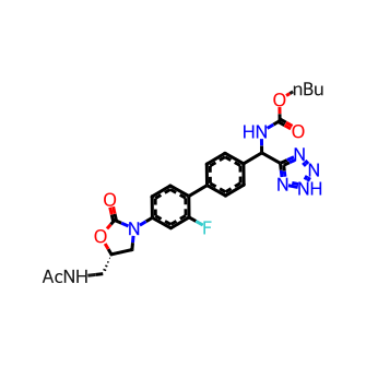 CCCCOC(=O)NC(c1ccc(-c2ccc(N3C[C@H](CNC(C)=O)OC3=O)cc2F)cc1)c1nn[nH]n1